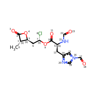 C[C@@H]1C(=O)O[C@H]1C[C@H](Cl)OC(=O)[C@H](Cc1cn(C=O)cn1)NC=O